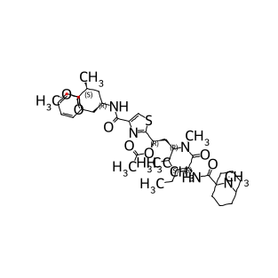 CC[C@H](C)[C@H](NC(=O)C12CCCC(CCC1)N2C)C(=O)N(C)[C@H](C[C@@H](OC(C)=O)c1nc(C(=O)N[C@@H](Cc2ccccc2)C[C@H](C)C(=O)OC)cs1)C(C)C